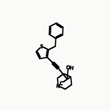 OC1(C#Cc2ccsc2Cc2ccccc2)CN2CCC1CC2